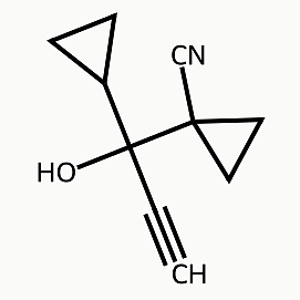 C#CC(O)(C1CC1)C1(C#N)CC1